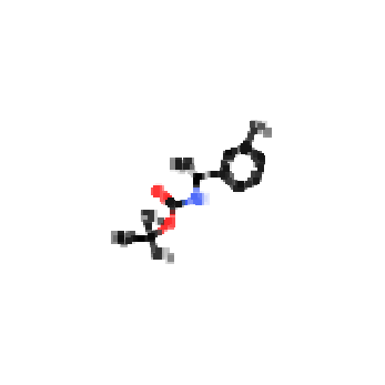 Cc1cccc([C@@H](C)NC(=O)OC(C)(C)C)c1